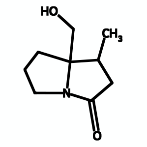 CC1CC(=O)N2CCCC12CO